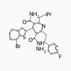 CC(C)Cc1nc(CCc2ccc(F)cc2)c(C(=O)NN)c(-c2cc3cccc(Br)c3s2)c1C(N)=O